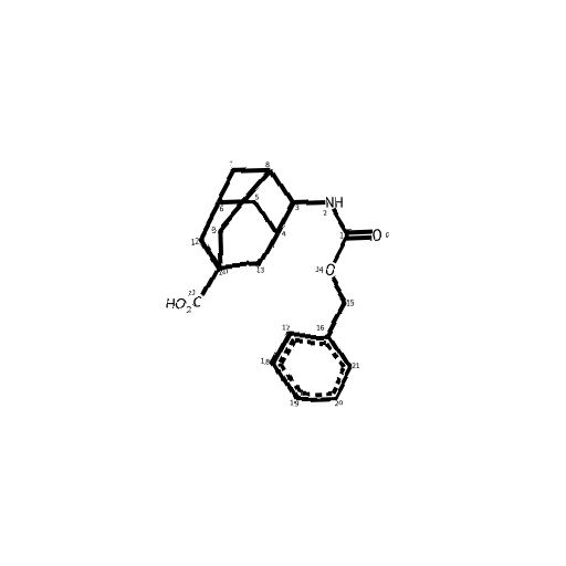 O=C(NC1C2CC3CC1CC(C(=O)O)(C3)C2)OCc1ccccc1